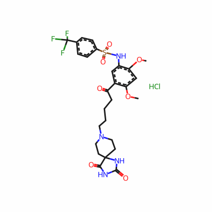 COc1cc(OC)c(C(=O)CCCCN2CCC3(CC2)NC(=O)NC3=O)cc1NS(=O)(=O)c1ccc(C(F)(F)F)cc1.Cl